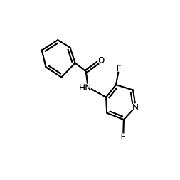 O=C(Nc1cc(F)ncc1F)c1ccccc1